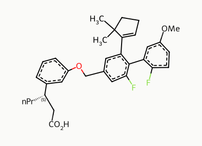 CCC[C@@H](CC(=O)O)c1cccc(OCc2cc(F)c(-c3cc(OC)ccc3F)c(C3=CCCC3(C)C)c2)c1